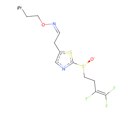 CC(C)CCO/N=C\Cc1cnc([S@@+]([O-])CCC(F)=C(F)F)s1